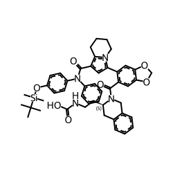 CC(C)(C)[Si](C)(C)Oc1ccc(N(C(=O)c2cc(-c3cc4c(cc3C(=O)N3Cc5ccccc5C[C@H]3CCNC(=O)O)OCO4)n3c2CCCC3)c2ccccc2)cc1